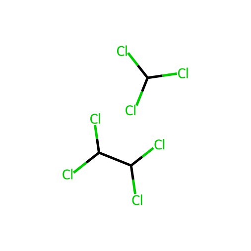 ClC(Cl)C(Cl)Cl.ClC(Cl)Cl